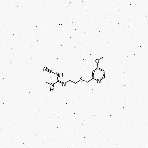 CN/C(=N/CCSCc1cc(OC)ccn1)NC#N